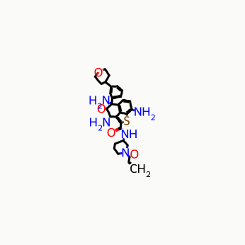 C=CC(=O)N1CCCC(NC(=O)c2sc3c(N)ccc4c3c2C(N)C(=O)C4(N)c2cccc(C3CCOCC3)c2)C1